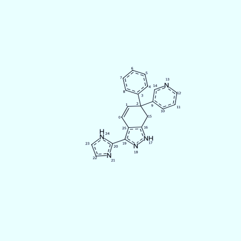 C1=CC(c2ccccc2)(c2cccnc2)Cc2[nH]nc(-c3ncc[nH]3)c21